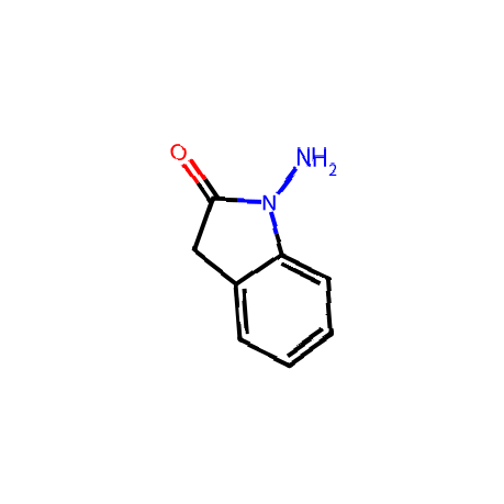 NN1C(=O)Cc2ccccc21